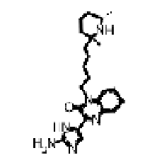 C[C@H]1CCC[C@@](C)(CCCCCn2c(=O)c(-c3cnc(N)[nH]3)nc3ccccc32)N1